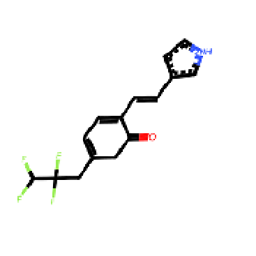 O=C1CC(CC(F)(F)C(F)F)=CC=C1/C=C/c1cc[nH]c1